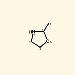 CC1NC[CH]O1